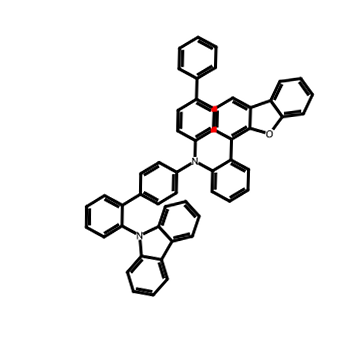 c1ccc(-c2ccc(N(c3ccc(-c4ccccc4-n4c5ccccc5c5ccccc54)cc3)c3ccccc3-c3cccc4c3oc3ccccc34)cc2)cc1